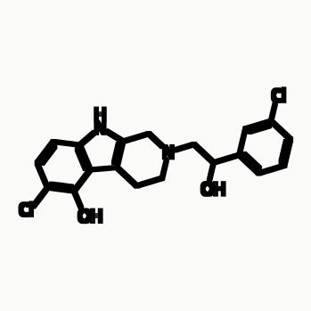 Oc1c(Cl)ccc2[nH]c3c(c12)CCN(CC(O)c1cccc(Cl)c1)C3